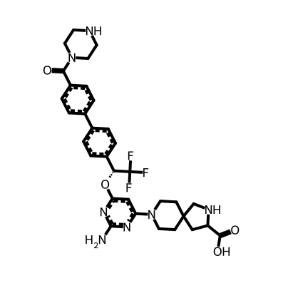 Nc1nc(O[C@H](c2ccc(-c3ccc(C(=O)N4CCNCC4)cc3)cc2)C(F)(F)F)cc(N2CCC3(CC2)CNC(C(=O)O)C3)n1